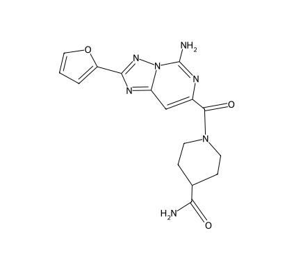 NC(=O)C1CCN(C(=O)c2cc3nc(-c4ccco4)nn3c(N)n2)CC1